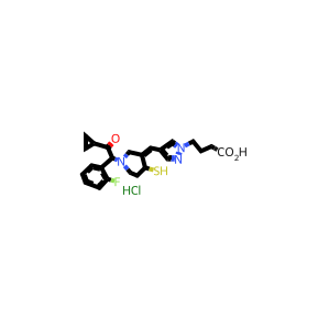 Cl.O=C(O)CCCn1cc(C=C2CN(C(C(=O)C3CC3)c3ccccc3F)CCC2S)cn1